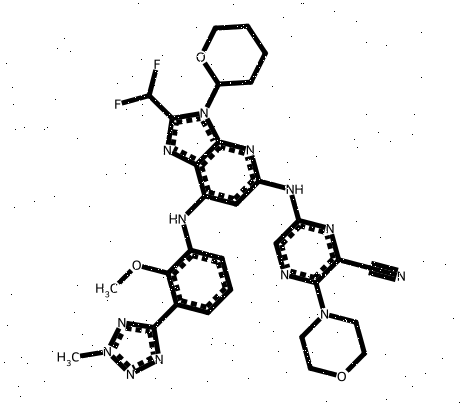 COc1c(Nc2cc(Nc3cnc(N4CCOCC4)c(C#N)n3)nc3c2nc(C(F)F)n3C2CCCCO2)cccc1-c1nnn(C)n1